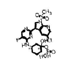 CS(=O)(=O)n1cc(-c2ncc(F)c(N[C@H]3CCC[C@@](O)(O[PH](=O)O)C3)n2)c2cc(Cl)cnc21